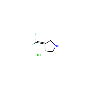 Cl.FC(F)=C1CCNC1